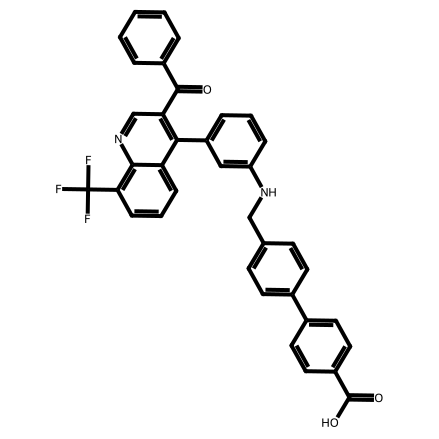 O=C(O)c1ccc(-c2ccc(CNc3cccc(-c4c(C(=O)c5ccccc5)cnc5c(C(F)(F)F)cccc45)c3)cc2)cc1